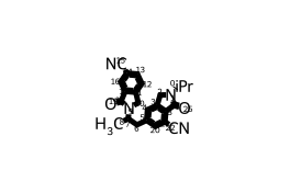 CC(C)N1Cc2cc(CC(C)N3Cc4ccc(C#N)cc4C3=O)cc(C#N)c2C1=O